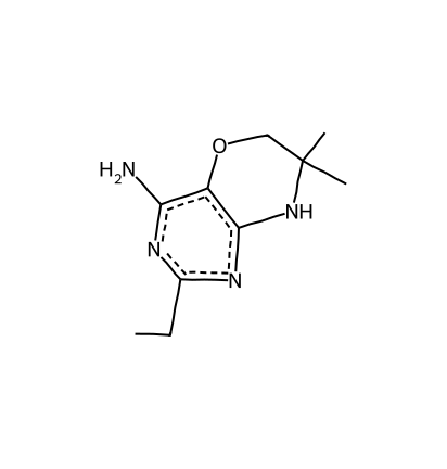 CCc1nc(N)c2c(n1)NC(C)(C)CO2